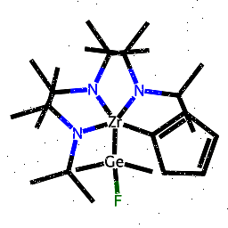 CC(C)[N](C(C)C)[Zr]([C]1=CC=CC1)([N](C(C)C)C(C)C)([N](C(C)C)C(C)C)[Ge]([CH3])([CH3])[F]